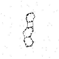 c1ccc2c(c1)-c1cc3ccccc3cc1-2